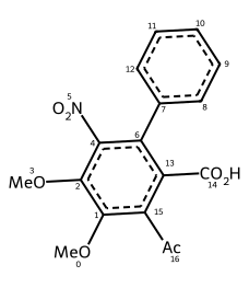 COc1c(OC)c([N+](=O)[O-])c(-c2ccccc2)c(C(=O)O)c1C(C)=O